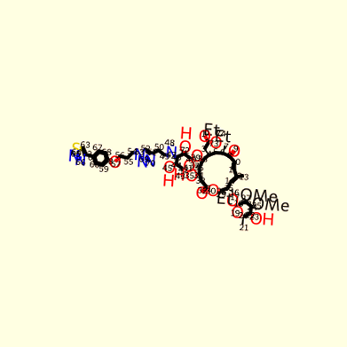 CCOC(C[C@H]1C[C@@H](C)C(=O)/C=C/C(C)=C/[C@H](COC2O[C@H](C)[C@@H](O)[C@@H](OC)[C@H]2OC)[C@@H](CC)OC(=O)C[C@@H](O)[C@H](C)[C@H]1O[C@@H]1O[C@H](C)[C@@H](O)[C@H](N(C)CCc2cn(CCCOc3ccc(-c4csnn4)cc3)nn2)[C@H]1O)OCC